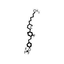 CCCCCCCC1CCC(c2ccc(CCc3ccc(OC(F)(F)F)cc3)c(F)c2)CC1